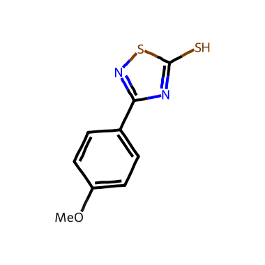 COc1ccc(-c2nsc(S)n2)cc1